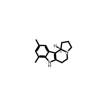 Cc1cc(C)c2[nH]c3c(c2c1)[C@@H]1CCCN1CC3